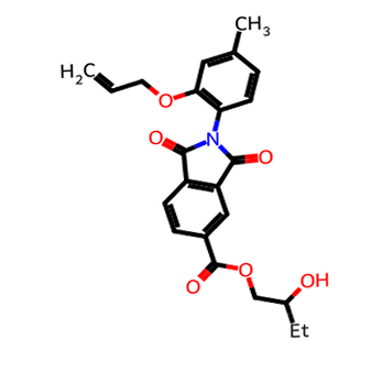 C=CCOc1cc(C)ccc1N1C(=O)c2ccc(C(=O)OCC(O)CC)cc2C1=O